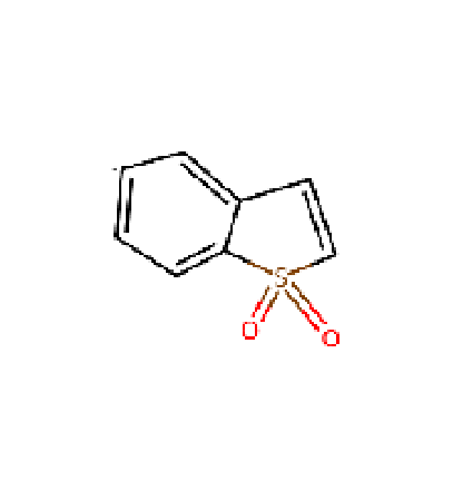 O=S1(=O)C=Cc2c[c]ccc21